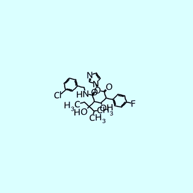 CCC(O)(C(C)C)C(C(=O)NCc1cccc(Cl)c1)C(O)C(C(=O)On1ccnc1)c1ccc(F)cc1